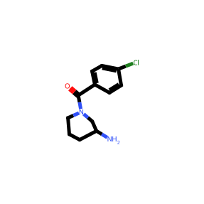 NC1CCCN(C(=O)c2ccc(Cl)cc2)C1